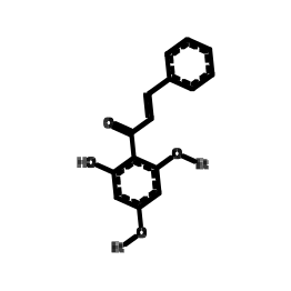 CCOc1cc(O)c(C(=O)/C=C/c2ccccc2)c(OCC)c1